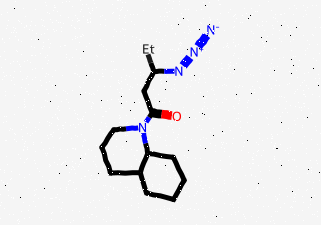 CCC(CC(=O)N1CCCC2CCCCC21)N=[N+]=[N-]